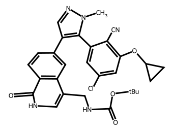 Cn1ncc(-c2ccc3c(=O)[nH]cc(CNC(=O)OC(C)(C)C)c3c2)c1-c1cc(Cl)cc(OC2CC2)c1C#N